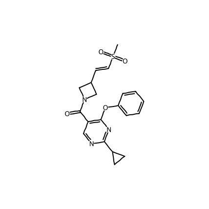 CS(=O)(=O)C=CC1CN(C(=O)c2cnc(C3CC3)nc2Oc2ccccc2)C1